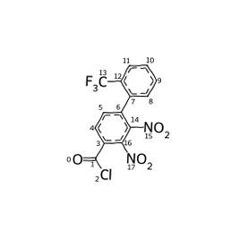 O=C(Cl)c1ccc(-c2ccccc2C(F)(F)F)c([N+](=O)[O-])c1[N+](=O)[O-]